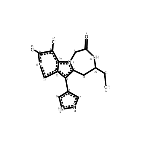 O=C1Cn2c(c(-c3cn[nH]c3)c3ccc(Cl)c(Cl)c32)CC(CO)N1